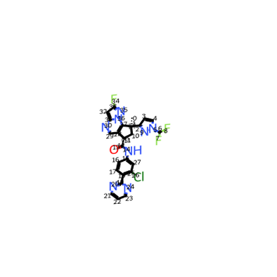 C[C@]1(c2ccn(C(F)F)n2)C[C@@H](C(=O)Nc2ccc(-c3ncccn3)c(Cl)c2)c2cnc3cc(F)nn3c21